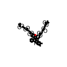 C=C(C)C(=O)OCCOC(=O)CCC(=O)OC/C=C\C(=C(C)C)C1(c2ccc(OC(=O)CCC(=O)OCCOC(=O)C(=C)C)cc2)c2ccccc2-c2nc3cc(C)c(C)cc3nc21